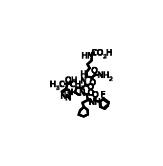 CC(C)(O)c1cnnn1[C@H]1C[C@@H](C(=O)NC(CCCCNC(=O)O)C(=O)C(N)=O)N(C(=O)C(CC2CCCCC2)NC(=O)c2ccccc2F)C1